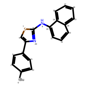 CC(C)(C)c1ccc(-c2csc(Nc3cccc4ccccc34)n2)cc1